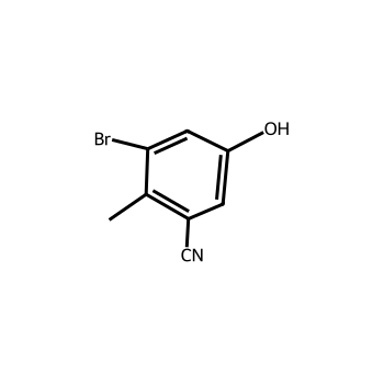 Cc1c(Br)cc(O)cc1C#N